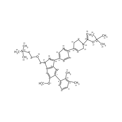 COc1cc2c(nc1-c1cccc(C)c1C)c(-c1ccc(C3=CCN(C(=O)OC(C)(C)C)CC3)nc1)nn2COCC[Si](C)(C)C